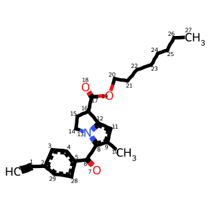 C#Cc1ccc(C(=O)c2c(C)cc3n2CCC3C(=O)OCCCCCCCC)cc1